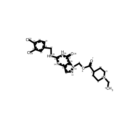 CCN1CCC(C(=O)OCn2ncc3nc(NCc4ccc(Cl)c(Cl)c4)[nH]c(=O)c32)CC1